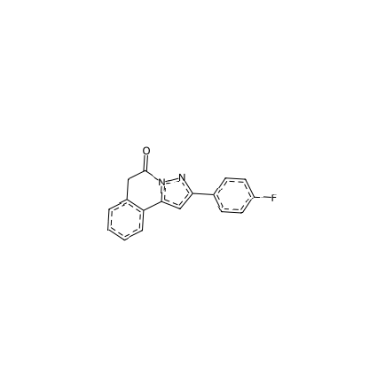 O=C1Cc2ccccc2-c2cc(-c3ccc(F)cc3)nn21